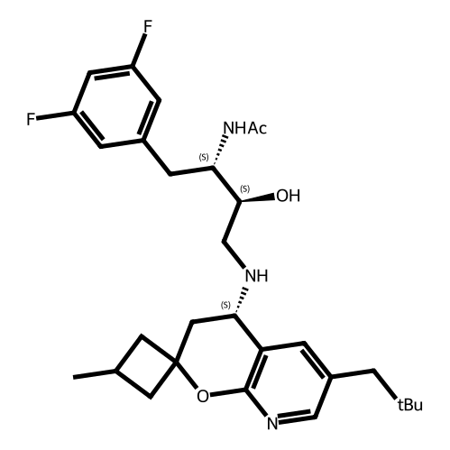 CC(=O)N[C@@H](Cc1cc(F)cc(F)c1)[C@@H](O)CN[C@H]1CC2(CC(C)C2)Oc2ncc(CC(C)(C)C)cc21